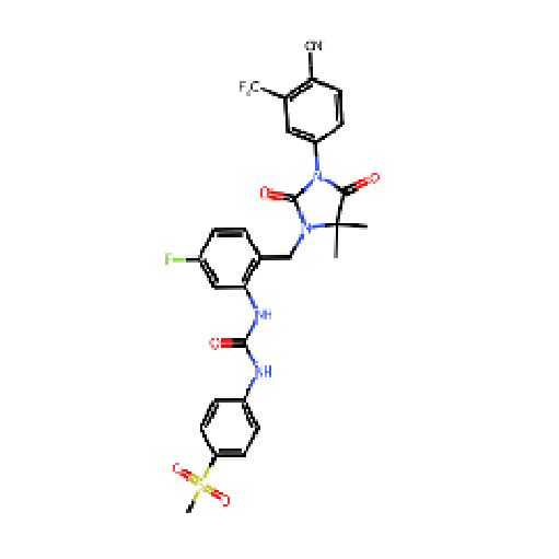 CC1(C)C(=O)N(c2ccc(C#N)c(C(F)(F)F)c2)C(=O)N1Cc1ccc(F)cc1NC(=O)Nc1ccc(S(C)(=O)=O)cc1